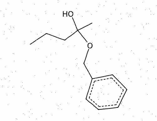 CCCC(C)(O)OCc1ccccc1